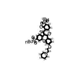 CCCCS(=O)(=O)C1=Cc2sc(C3=CC=CC(S(=O)(=O)C(C)CC)C3=O)c(C(=O)c3ccc(OCCN4CCCCC4)cc3)c2C(=O)C1